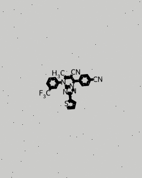 CC1=C(C#N)C(c2ccc(C#N)cc2)n2nc(-c3cccs3)nc2N1c1cccc(C(F)(F)F)c1